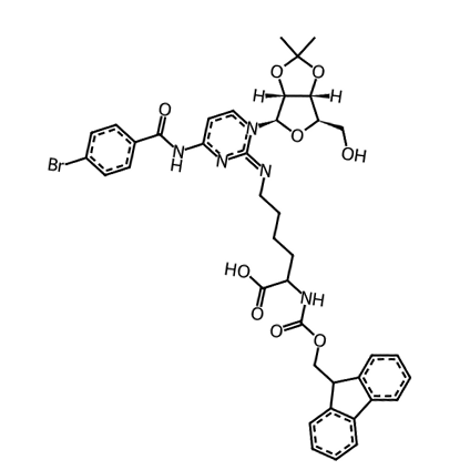 CC1(C)O[C@@H]2[C@H](O1)[C@@H](CO)O[C@H]2n1ccc(NC(=O)c2ccc(Br)cc2)nc1=NCCCCC(NC(=O)OCC1c2ccccc2-c2ccccc21)C(=O)O